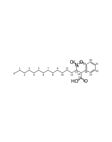 CCCCCCCCCCCCCC(C(C(=O)O)c1ccccc1)[N+](=O)[O-]